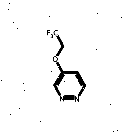 FC(F)(F)COc1ccnnc1